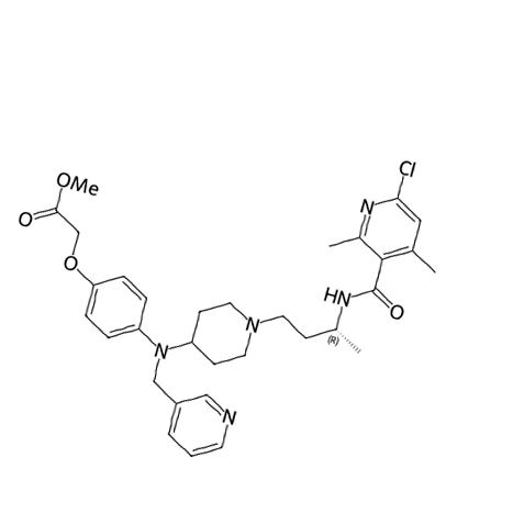 COC(=O)COc1ccc(N(Cc2cccnc2)C2CCN(CC[C@@H](C)NC(=O)c3c(C)cc(Cl)nc3C)CC2)cc1